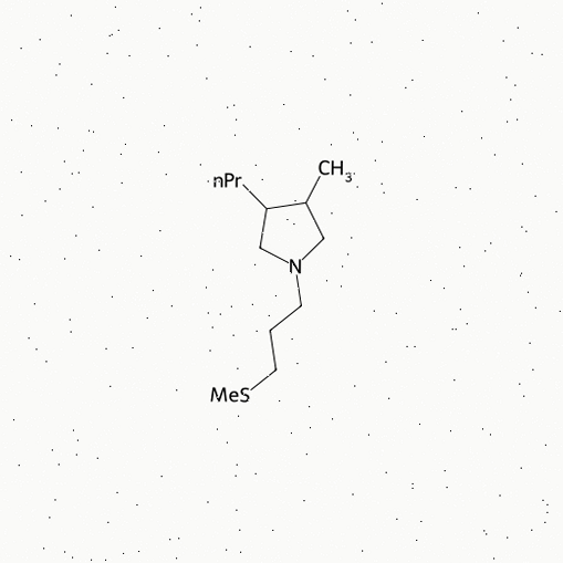 CCCC1CN(CCCSC)CC1C